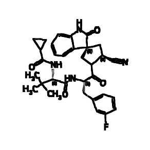 CC(C)(C)[C@H](NC(=O)C1CC1)C(=O)N[C@@H](Cc1cccc(F)c1)C(=O)C1C[C@]2(C[C@H]1C#N)C(=O)Nc1ccccc12